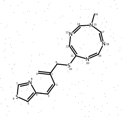 C=C(/C=C\c1cscn1)CSc1cncn(C)cncn1